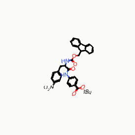 CC(C)(C)OC(=O)c1ccc(NC(=O)C(Cc2ccc([N+](=O)[O-])cc2)NC(=O)OCC2c3ccccc3-c3ccccc32)cc1